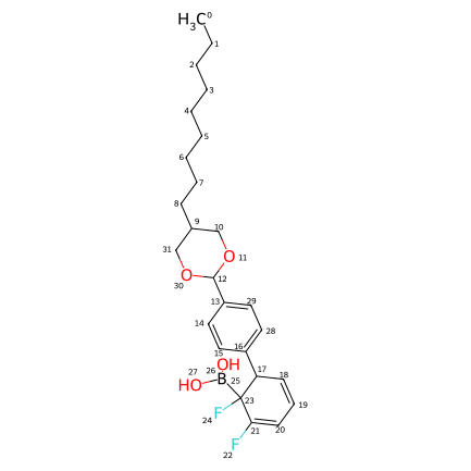 CCCCCCCCCC1COC(c2ccc(C3C=CC=C(F)C3(F)B(O)O)cc2)OC1